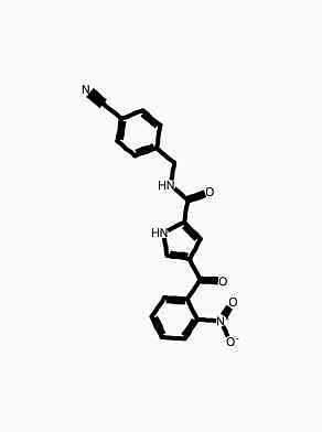 N#Cc1ccc(CNC(=O)c2cc(C(=O)c3ccccc3[N+](=O)[O-])c[nH]2)cc1